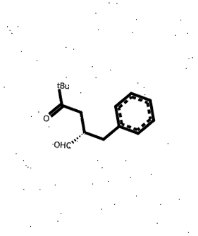 CC(C)(C)C(=O)C[C@@H]([C]=O)Cc1ccccc1